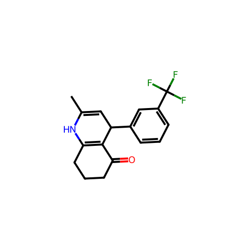 CC1=CC(c2cccc(C(F)(F)F)c2)C2=C(CCCC2=O)N1